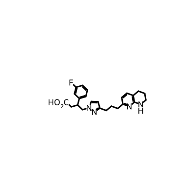 O=C(O)CC(Cn1ccc(CCCc2ccc3c(n2)NCCC3)n1)c1cccc(F)c1